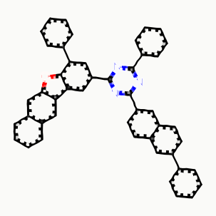 c1ccc(-c2ccc3cc(-c4nc(-c5ccccc5)nc(-c5cc(-c6ccccc6)c6oc7cc8ccccc8cc7c6c5)n4)ccc3c2)cc1